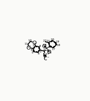 [C-]#[N+]C(c1ccc2c(c1)OCCO2)S(=O)(=O)c1ccccc1C